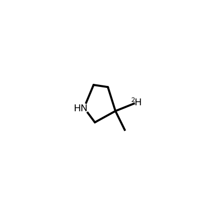 [2H]C1(C)CCNC1